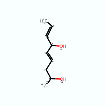 CC=CC(O)C=CCC(C)O